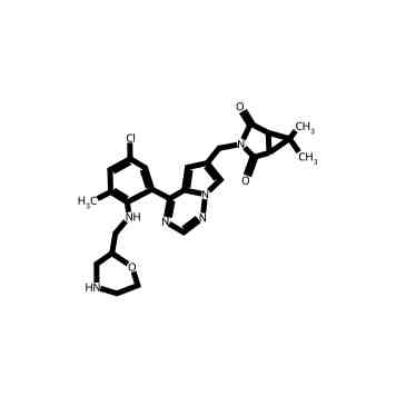 Cc1cc(Cl)cc(-c2ncnn3cc(CN4C(=O)C5C(C4=O)C5(C)C)cc23)c1NCC1CNCCO1